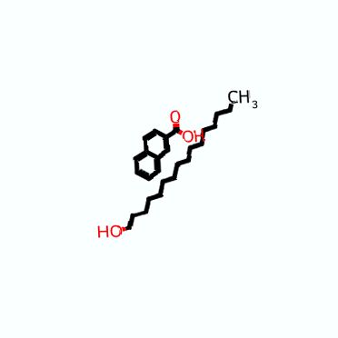 CCCCCCCCCCCCCCCCO.O=C(O)c1ccc2ccccc2c1